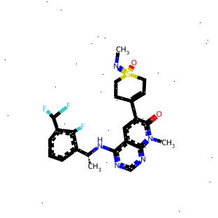 CN=S1(=O)CC=C(c2cc3c(N[C@H](C)c4cccc(C(F)F)c4F)ncnc3n(C)c2=O)CC1